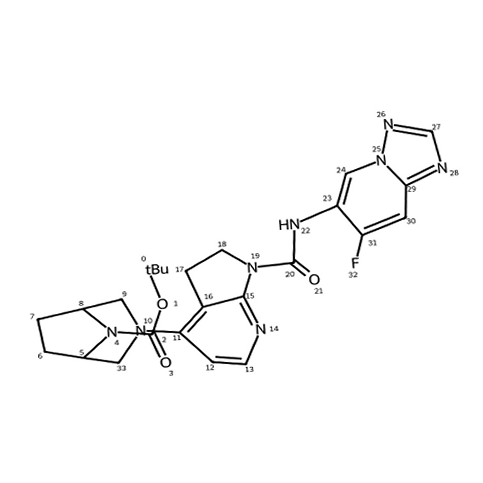 CC(C)(C)OC(=O)N1C2CCC1CN(c1ccnc3c1CCN3C(=O)Nc1cn3ncnc3cc1F)C2